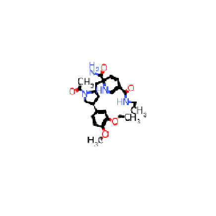 CCNC(=O)C1=CNC(C[C@H]2C[C@@H](c3ccc(OC)c(OCC)c3)CN2C(C)=O)(C(N)=O)C=C1